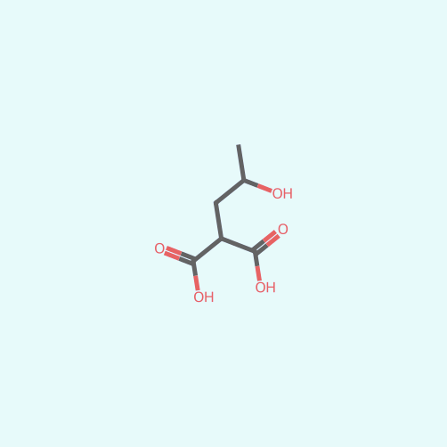 CC(O)CC(C(=O)O)C(=O)O